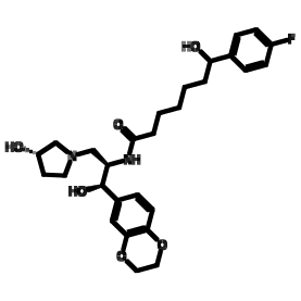 O=C(CCCCCC(O)c1ccc(F)cc1)N[C@H](CN1CC[C@H](O)C1)[C@H](O)c1ccc2c(c1)OCCO2